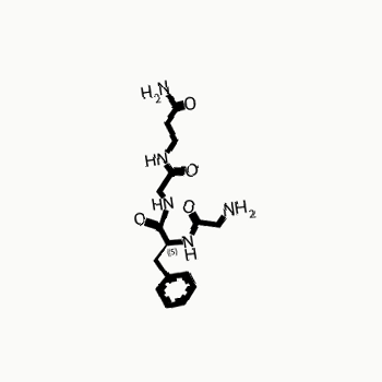 NCC(=O)N[C@@H](Cc1ccccc1)C(=O)NCC(=O)NCCC(N)=O